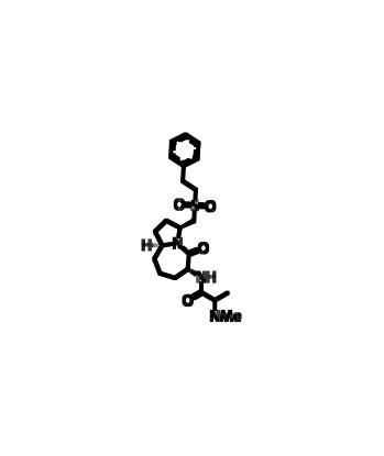 CNC(C)C(=O)N[C@H]1CCC[C@H]2CC[C@@H](CS(=O)(=O)CCc3ccccc3)N2C1=O